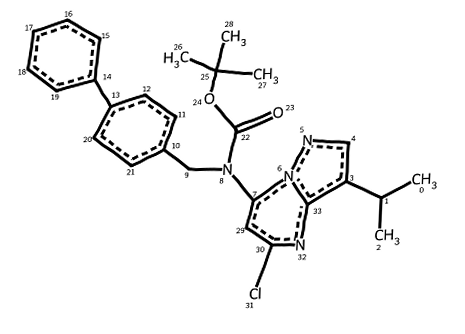 CC(C)c1cnn2c(N(Cc3ccc(-c4ccccc4)cc3)C(=O)OC(C)(C)C)cc(Cl)nc12